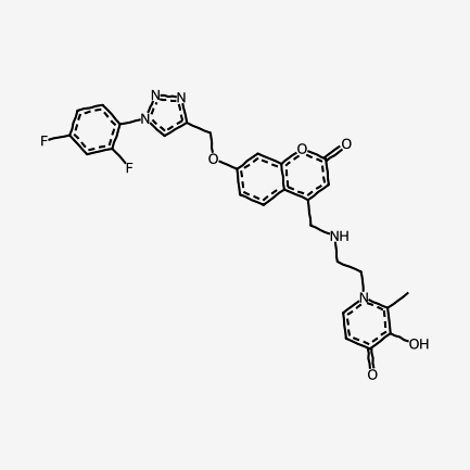 Cc1c(O)c(=O)ccn1CCNCc1cc(=O)oc2cc(OCc3cn(-c4ccc(F)cc4F)nn3)ccc12